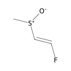 C[S+]([O-])C=CF